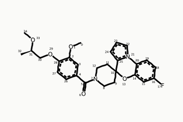 COc1cc(C(=O)N2CCC3(CC2)Oc2cc(F)ccc2-n2cccc23)ccc1OC[C@@H](C)OC